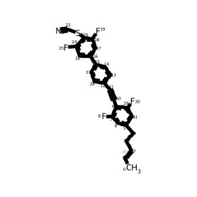 C/C=C/CCc1cc(F)c(C#Cc2ccc(-c3cc(F)c(SC#N)c(F)c3)cc2)c(F)c1